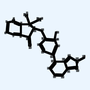 [2H]C1([2H])c2ncccc2C(=O)N1Cc1ccc(-c2cccc3nn(C)cc23)cc1C